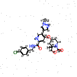 CC(C)(C)n1cc(-c2cnc(C(=O)NCc3ccc(Cl)cc3)cc2O[C@H]2CCN3C(=O)OC[C@@H]3C2)cn1